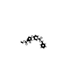 CCOC(=O)[C@@H]1C2C[C@H](OC3CCN(C(=O)OCc4ccccc4)CC3)C[C@@H]21